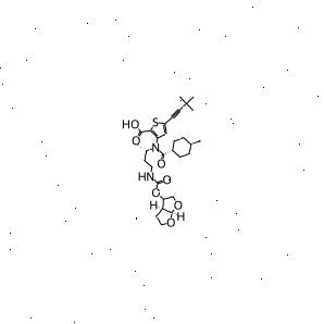 C[C@@H](CCNC(=O)O[C@H]1CO[C@H]2OCC[C@H]21)N(c1cc(C#CC(C)(C)C)sc1C(=O)O)C(=O)[C@H]1CC[C@H](C)CC1